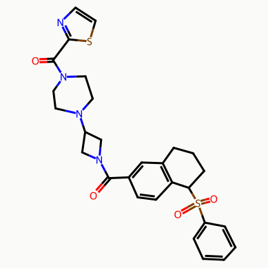 O=C(c1ccc2c(c1)CCCC2S(=O)(=O)c1ccccc1)N1CC(N2CCN(C(=O)c3nccs3)CC2)C1